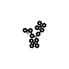 c1ccc(C2(c3ccccc3)c3ccccc3-c3ccc(N(c4ccc(-c5cccc6c5-c5ccccc5C6(c5ccccc5)c5ccccc5)cc4)c4cccc(-c5cccc6c5sc5ccccc56)c4)cc32)cc1